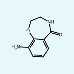 Nc1cccc2c1OCCNC2=O